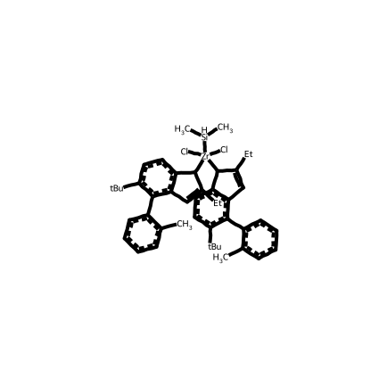 CCC1=Cc2c(ccc(C(C)(C)C)c2-c2ccccc2C)[CH]1[Zr]([Cl])([Cl])([CH]1C(CC)=Cc2c1ccc(C(C)(C)C)c2-c1ccccc1C)[SiH](C)C